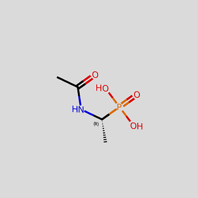 CC(=O)N[C@@H](C)P(=O)(O)O